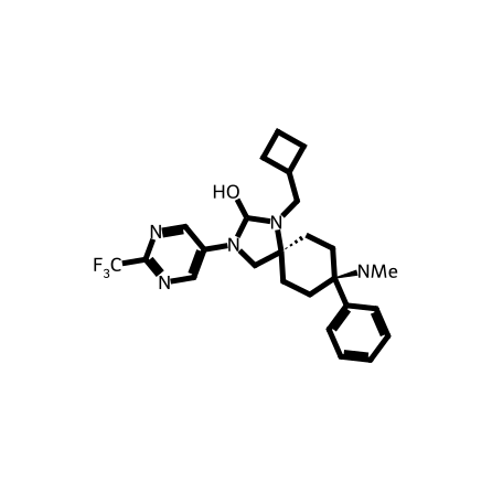 CN[C@]1(c2ccccc2)CC[C@]2(CC1)CN(c1cnc(C(F)(F)F)nc1)C(O)N2CC1CCC1